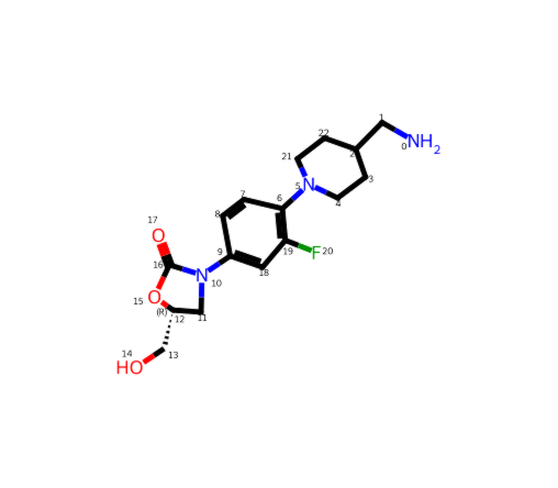 NCC1CCN(c2ccc(N3C[C@H](CO)OC3=O)cc2F)CC1